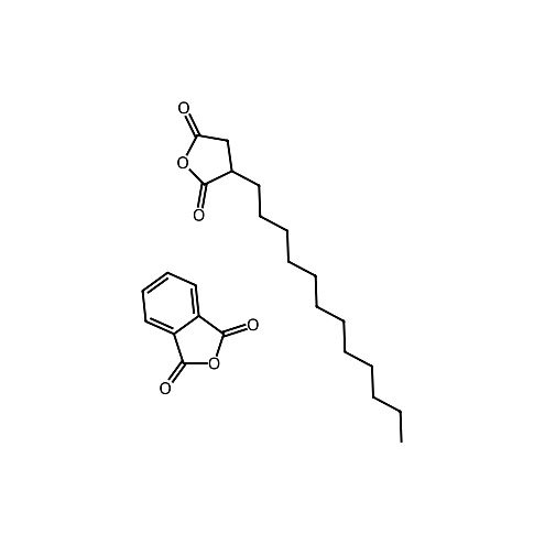 CCCCCCCCCCCCC1CC(=O)OC1=O.O=C1OC(=O)c2ccccc21